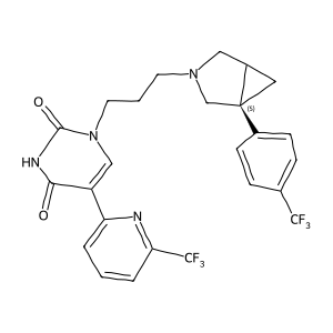 O=c1[nH]c(=O)n(CCCN2CC3C[C@]3(c3ccc(C(F)(F)F)cc3)C2)cc1-c1cccc(C(F)(F)F)n1